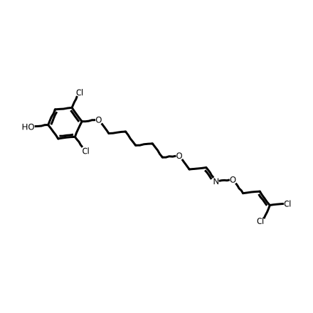 Oc1cc(Cl)c(OCCCCCOCC=NOCC=C(Cl)Cl)c(Cl)c1